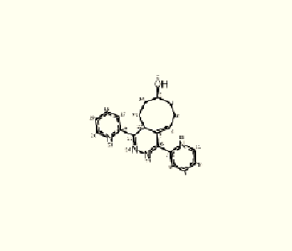 O[C@H]1CC/C=C2/C(c3ccccn3)=NN=C(c3ccccn3)C2CC1